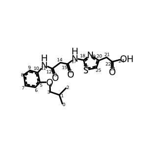 CC(C)COc1ccccc1NC(=O)CC(=O)Nc1nc(CC(=O)O)cs1